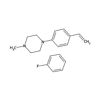 C=Cc1ccc(N2CCN(C)CC2)cc1.Fc1ccccc1